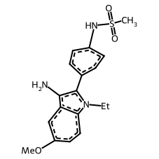 CCn1c(-c2ccc(NS(C)(=O)=O)cc2)c(N)c2cc(OC)ccc21